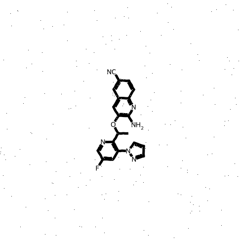 CC(Oc1cc2cc(C#N)ccc2nc1N)c1ncc(F)cc1-n1cccn1